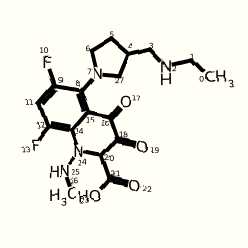 CCNCC1CCN(c2c(F)cc(F)c3c2C(=O)C(=O)C(C(=O)O)N3NC)C1